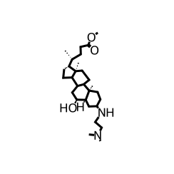 COC(=O)CC[C@@H](C)[C@H]1CCC2C3C[C@H](O)[C@@H]4CC(NCCN(C)C)CC[C@]4(C)C3CC[C@@]21C